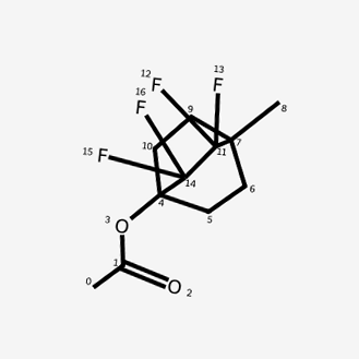 CC(=O)OC12CCC(C)(CC1)C(F)(F)C2(F)F